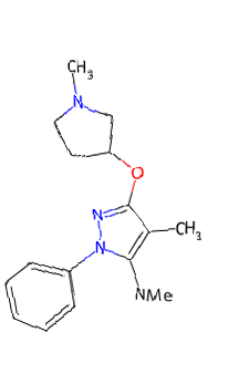 CNc1c(C)c(OC2CCN(C)C2)nn1-c1ccccc1